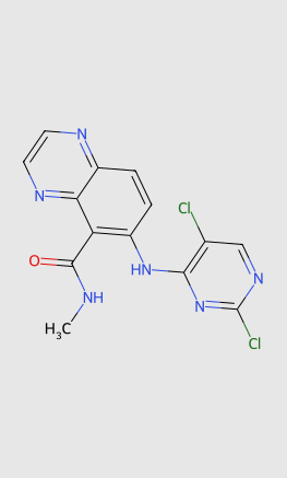 CNC(=O)c1c(Nc2nc(Cl)ncc2Cl)ccc2nccnc12